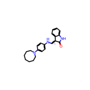 O=C1Nc2ccccc2/C1=C\Nc1ccc(N2CCCCCCC2)cc1